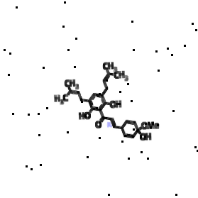 COC1(O)C=CC(/C=C/C(=O)c2c(O)c(CC=C(C)C)cc(CC=C(C)C)c2O)C=C1